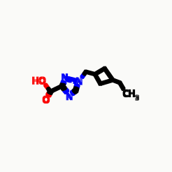 CCC1CC(Cn2cnc(C(=O)O)n2)C1